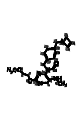 CNc1cnc(OCCOC)nc1N(C=O)Cc1ccc(CN2CCC2)cc1